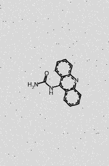 NC(=O)Nc1c2ccccc2nc2ccccc12